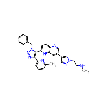 CNCCn1cc(-c2cnc3ccc(-c4c(-c5cccc(C)n5)nnn4Cc4ccccc4)nc3c2)cn1